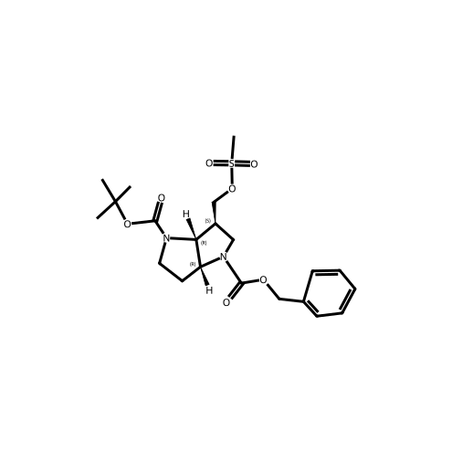 CC(C)(C)OC(=O)N1CC[C@@H]2[C@H]1[C@@H](COS(C)(=O)=O)CN2C(=O)OCc1ccccc1